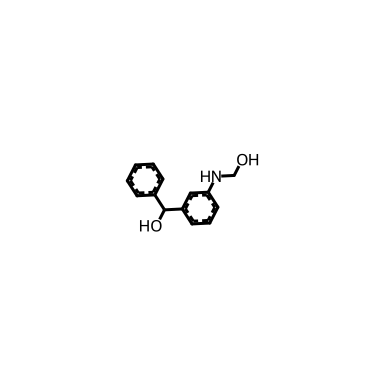 OCNc1cccc(C(O)c2ccccc2)c1